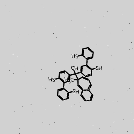 CC1(C(C)(c2ccc(S)c(-c3ccccc3S)c2)c2ccc(S)c(-c3ccccc3S)c2)C=CC=c2ccccc2=C1